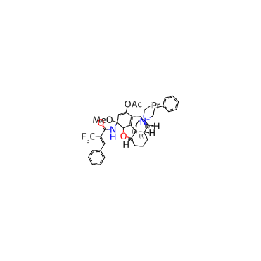 COC1(NC(=O)C(=Cc2ccccc2)C(F)(F)F)C=C(OC(C)=O)C2=C3C1O[C@H]1CCC[C@H]4[C@@H](C2)[N+](CCc2ccccc2)(CC(C)C)CC[C@]314